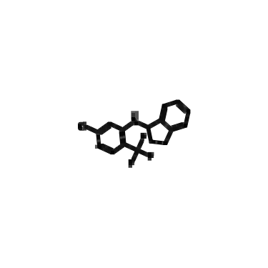 FC(F)(F)c1c[c]c(Cl)cc1NC1CCc2ccccc21